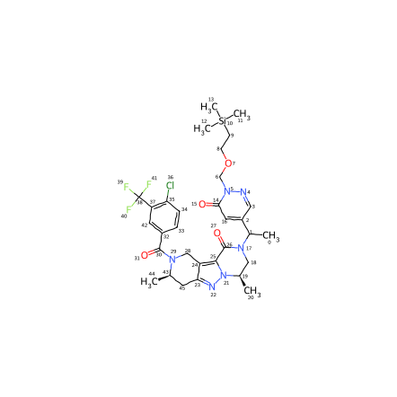 CC(c1cnn(COCC[Si](C)(C)C)c(=O)c1)N1C[C@@H](C)n2nc3c(c2C1=O)CN(C(=O)c1ccc(Cl)c(C(F)(F)F)c1)[C@H](C)C3